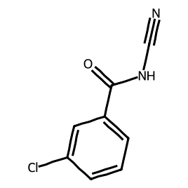 N#CNC(=O)c1cccc(Cl)c1